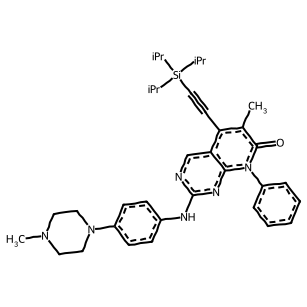 Cc1c(C#C[Si](C(C)C)(C(C)C)C(C)C)c2cnc(Nc3ccc(N4CCN(C)CC4)cc3)nc2n(-c2ccccc2)c1=O